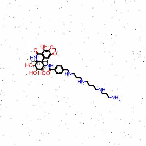 NCCCNCCCCNCCCNCc1ccc(C(=O)N[C@H]2[C@H](O)[C@@H](O)[C@@H](O)[C@@H]3NC(=O)c4c(cc5c(c4O)OCO5)[C@@H]23)cc1